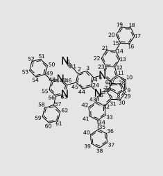 N#Cc1cc(-n2c3ccccc3c3cc(-c4ccccc4)ccc32)c(-n2c3ccccc3c3cc(-c4ccccc4)ccc32)cc1-c1nc(-c2ccccc2)cc(-c2ccccc2)n1